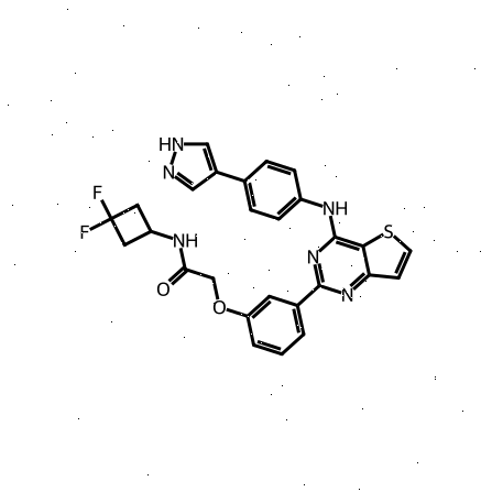 O=C(COc1cccc(-c2nc(Nc3ccc(-c4cn[nH]c4)cc3)c3sccc3n2)c1)NC1CC(F)(F)C1